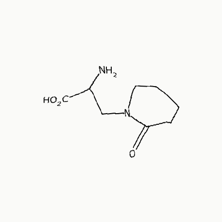 NC(CN1CCCCC1=O)C(=O)O